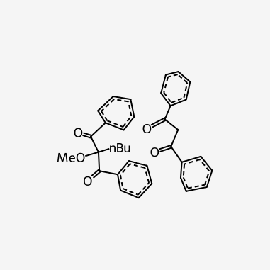 CCCCC(OC)(C(=O)c1ccccc1)C(=O)c1ccccc1.O=C(CC(=O)c1ccccc1)c1ccccc1